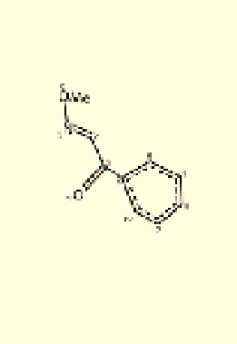 CON=CC(=O)c1c[c]ccc1